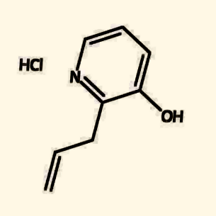 C=CCc1ncccc1O.Cl